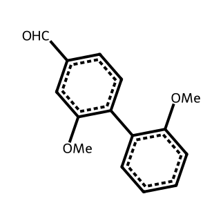 COc1ccccc1-c1ccc(C=O)cc1OC